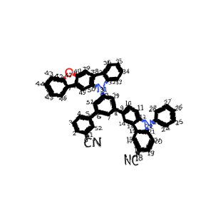 N#Cc1cccc(-c2cc(-c3ccc4c(c3)c3cc(C#N)ccc3n4-c3ccccc3)cc(-n3c4ccccc4c4cc5oc6ccccc6c5cc43)c2)c1